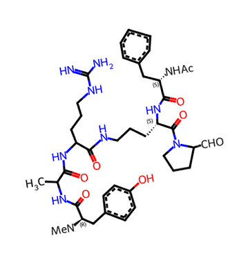 CN[C@H](Cc1ccc(O)cc1)C(=O)NC(C)C(=O)NC(CCCNC(=N)N)C(=O)NCCC[C@H](NC(=O)[C@H](Cc1ccccc1)NC(C)=O)C(=O)N1CCCC1C=O